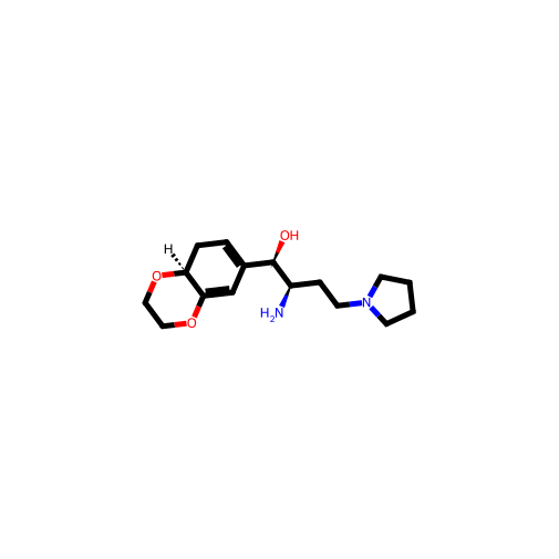 N[C@H](CCN1CCCC1)[C@H](O)C1=CC[C@@H]2OCCOC2=C1